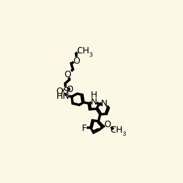 CCOCCOCCS(=O)(=O)NC1CC=C(c2cc3c(-c4cc(F)ccc4OC)ccnc3[nH]2)CC1